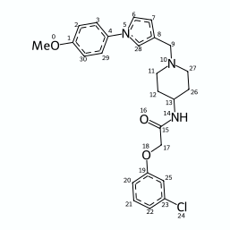 COc1ccc(-n2ccc(CN3CCC(NC(=O)COc4cccc(Cl)c4)CC3)c2)cc1